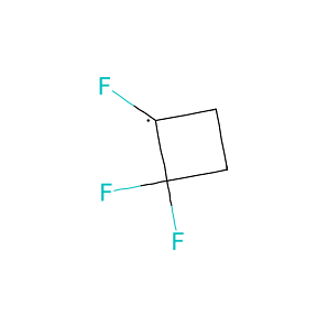 F[C]1CCC1(F)F